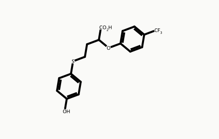 O=C(O)C(CCSc1ccc(O)cc1)Oc1ccc(C(F)(F)F)cc1